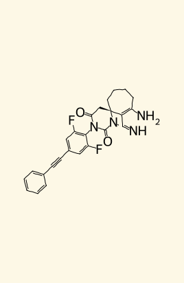 CN1C(=O)N(c2c(F)cc(C#Cc3ccccc3)cc2F)C(=O)C[C@]12CCCCC(N)=C2C=N